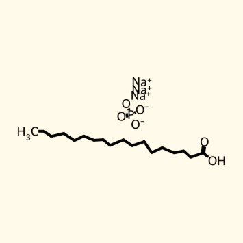 CCCCCCCCCCCCCCCCCC(=O)O.O=P([O-])([O-])[O-].[Na+].[Na+].[Na+]